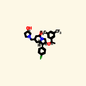 C[C@@H](O[C@H]1CN2C(=O)CC(CN3CC[C@H](O)C3)C[C@H]2[C@@H]1c1ccc(F)cc1)c1cc(C(F)(F)F)cc(C(F)(F)F)c1